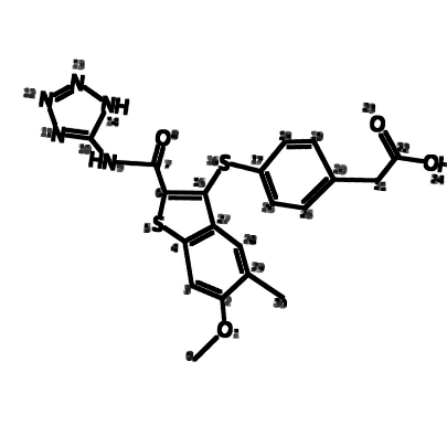 COc1cc2sc(C(=O)Nc3nnn[nH]3)c(Sc3ccc(CC(=O)O)cc3)c2cc1C